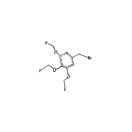 FCOc1cc(CBr)cc(OCF)c1OCF